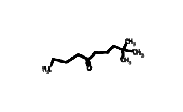 CCCCC(=O)CCCC(C)(C)C